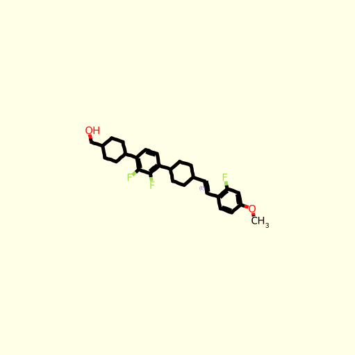 COc1ccc(/C=C/C2CCC(c3ccc(C4CCC(CO)CC4)c(F)c3F)CC2)c(F)c1